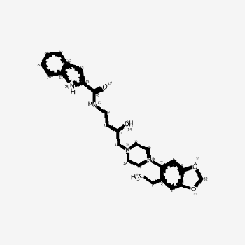 CCc1cc2c(cc1N1CCN(CC(O)CCNC(=O)c3cc4ccccc4[nH]3)CC1)OCO2